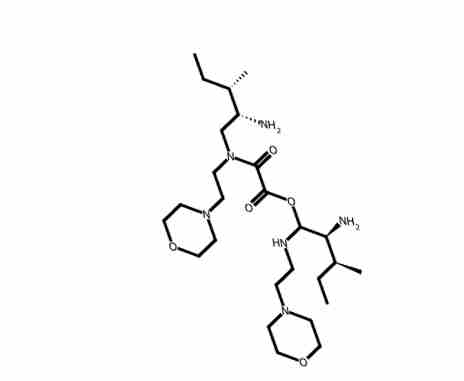 CC[C@H](C)[C@H](N)CN(CCN1CCOCC1)C(=O)C(=O)OC(NCCN1CCOCC1)[C@@H](N)[C@@H](C)CC